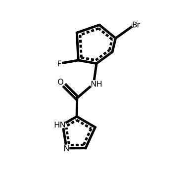 O=C(Nc1cc(Br)ccc1F)c1ccn[nH]1